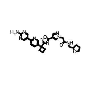 Nc1ncc(-c2ccc(C3(c4noc(-c5cnn(CC(=O)NCC6CCCO6)c5)n4)CCC3)cn2)cn1